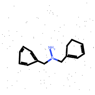 NN(CC1=CC=CCC1)Cc1ccccc1